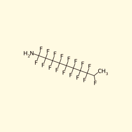 CC(F)C(F)(F)C(F)(F)C(F)(F)C(F)(F)C(F)(F)C(F)(F)C(F)(F)C(N)(F)F